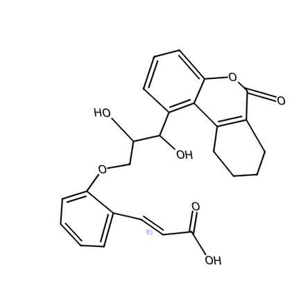 O=C(O)/C=C/c1ccccc1OCC(O)C(O)c1cccc2oc(=O)c3c(c12)CCCC3